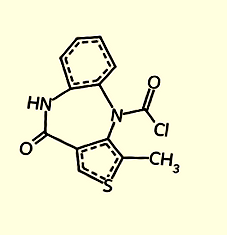 Cc1scc2c1N(C(=O)Cl)c1ccccc1NC2=O